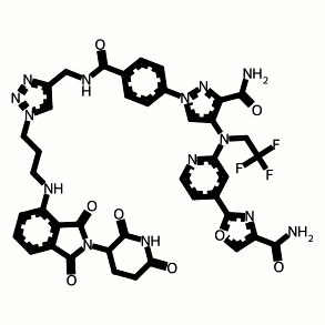 NC(=O)c1coc(-c2ccnc(N(CC(F)(F)F)c3cn(-c4ccc(C(=O)NCc5cn(CCCNc6cccc7c6C(=O)N(C6CCC(=O)NC6=O)C7=O)nn5)cc4)nc3C(N)=O)c2)n1